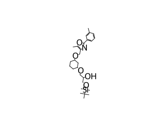 Cc1cccc(-c2nc(COC3CCCC(OCC(O)CO[Si](C)(C)C(C)(C)C)C3)c(C)o2)c1